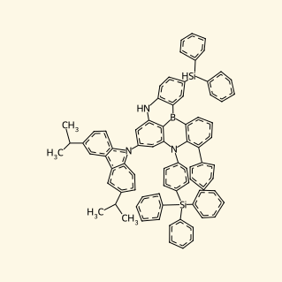 CC(C)c1ccc2c(c1)c1cc(C(C)C)ccc1n2-c1cc2c3c(c1)N(c1ccc([Si](c4ccccc4)(c4ccccc4)c4ccccc4)cc1)c1c(cccc1-c1ccccc1)B3c1cc([SiH](c3ccccc3)c3ccccc3)ccc1N2